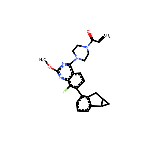 C=CC(=O)N1CCN(c2nc(OC)nc3c(F)c(-c4cccc5c4CC4CC54)ccc23)CC1